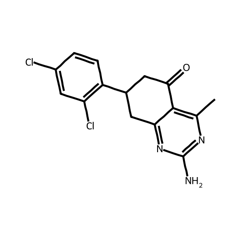 Cc1nc(N)nc2c1C(=O)CC(c1ccc(Cl)cc1Cl)C2